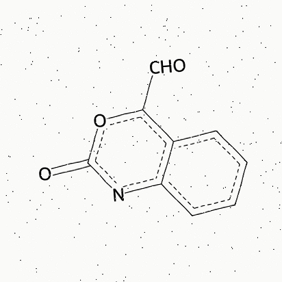 O=Cc1oc(=O)nc2ccccc12